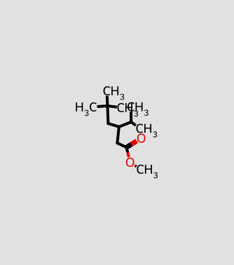 COC(=O)CC(CC(C)(C)C)C(C)C